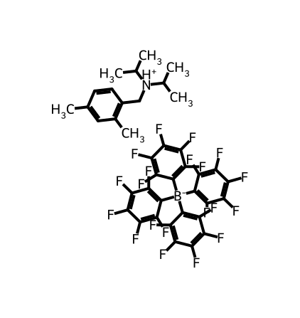 Cc1ccc(C[NH+](C(C)C)C(C)C)c(C)c1.Fc1c(F)c(F)c([B-](c2c(F)c(F)c(F)c(F)c2F)(c2c(F)c(F)c(F)c(F)c2F)c2c(F)c(F)c(F)c(F)c2F)c(F)c1F